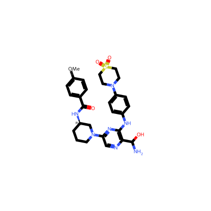 COc1ccc(C(=O)N[C@@H]2CCCN(c3cnc(C(N)O)c(Nc4ccc(N5CCS(=O)(=O)CC5)cc4)n3)C2)cc1